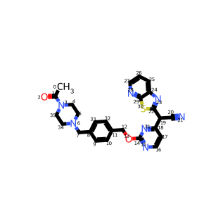 CC(=O)N1CCN(Cc2ccc(COc3nccc(C(C#N)c4nc5cccnc5s4)n3)cc2)CC1